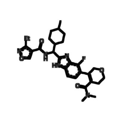 CCc1nocc1C(=O)NC(c1nc2c(F)c(C3=C(C(=O)N(C)C)CCOC3)ccc2[nH]1)C1CCC(C)CC1